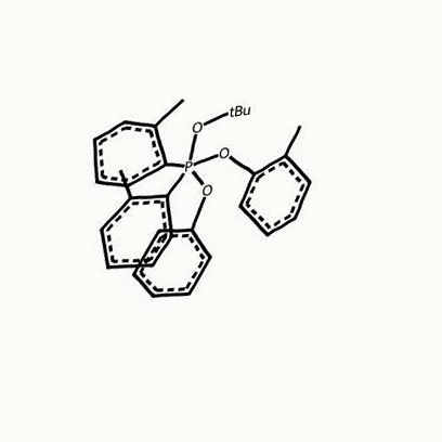 Cc1ccccc1OP(Oc1ccccc1)(OC(C)(C)C)(c1ccccc1C)c1ccccc1C